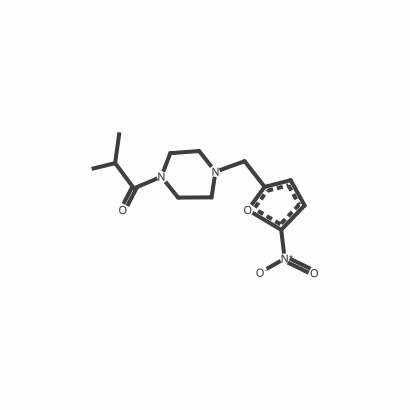 CC(C)C(=O)N1CCN(Cc2ccc([N+](=O)[O-])o2)CC1